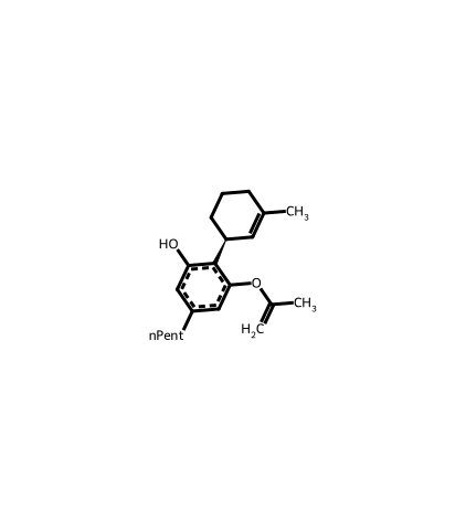 C=C(C)Oc1cc(CCCCC)cc(O)c1[C@@H]1C=C(C)CCC1